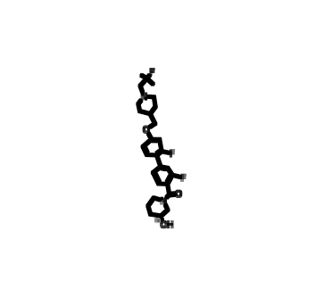 CC(C)(F)CN1CCC(COc2ccc(-c3ccc(C(=O)N4CCC[C@H](O)C4)c(F)c3)c(F)c2)CC1